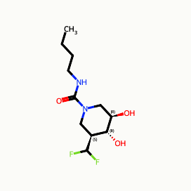 CCCCNC(=O)N1C[C@@H](O)[C@H](O)[C@@H](C(F)F)C1